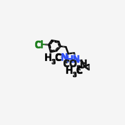 CN(C(=O)O)C(CNCC1(C)CC1)Cc1ccc(Cl)cc1